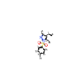 C=Cc1c(C)nn(S(=O)(=O)c2ccc(C)cc2)c1C